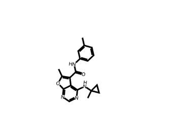 Cc1cccc(NC(=O)c2c(C)oc3ncnc(NC4(C)CC4)c23)c1